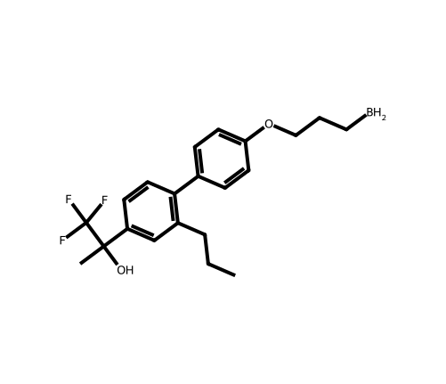 BCCCOc1ccc(-c2ccc(C(C)(O)C(F)(F)F)cc2CCC)cc1